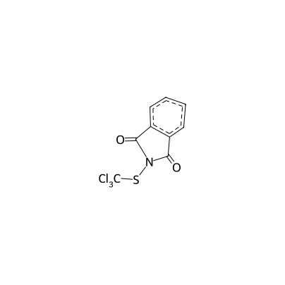 O=C1c2ccccc2C(=O)N1SC(Cl)(Cl)Cl